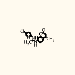 C=C(Nc1ccc2c(C)cc(=O)oc2c1)Nc1ccc(Cl)cn1